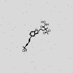 CC(C)(O)C#CC#Cc1ccc2nn(CCC(C)(C(=O)NO)S(C)(=O)=O)cc2c1